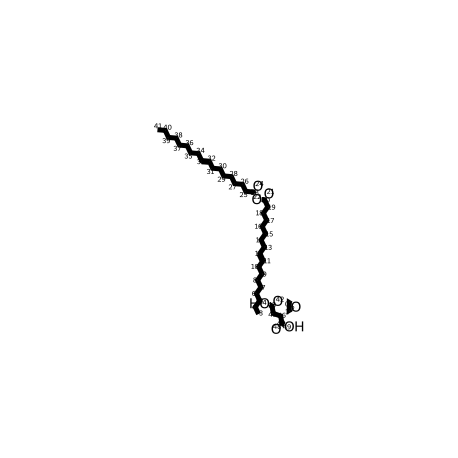 C1CO1.CCCCCCCCC=CCCCCCCCC(=O)OC(=O)CCCCCCCC=CCCCCCCCC.O=C(O)CCC(=O)O